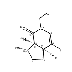 CCN1C=C(C)[C@H]2CC[C@H](C)[C@H]2C1=O